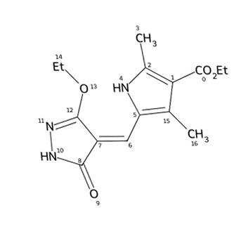 CCOC(=O)c1c(C)[nH]c(C=C2C(=O)NN=C2OCC)c1C